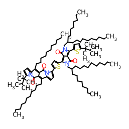 CCCCCCCCCCCc1c2c(=O)n3c(C(C)(C)C(C)C)ccc3c(CCCCCCCCCCC)c2c(=O)n2c(-c3ccc(C4=C5C(=O)N(CC(CCCCCCCC)CCCCCCCCCC)C(c6ccc(C(C)(C)C(C)C)s6)=C5C(=O)N4CC(CCCCCCCC)CCCCCCCCCC)s3)ccc12